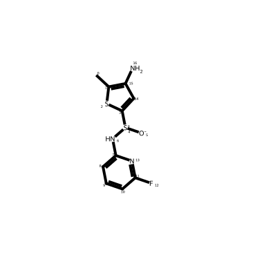 Cc1sc([S+]([O-])Nc2cccc(F)n2)cc1N